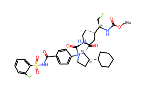 CC(C)(C)OC(=O)N[C@H](CF)[C@H]1CC[C@H](C(=O)[N+]2(c3ccc(C(=O)NS(=O)(=O)c4ccccc4F)cc3)CC[C@@H](C3CCCCC3)[C@H]2C(N)=O)CC1